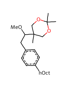 CCCCCCCCc1ccc(CC(OC)C2(C)COC(C)(C)OC2)cc1